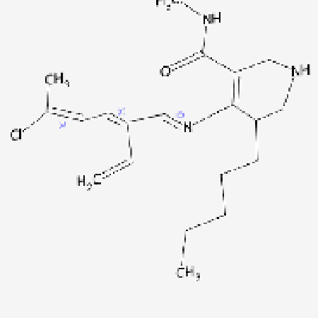 C=CC(/C=N/C1=C(C(=O)NC)CNCC1CCCCC)=C\C=C(/C)Cl